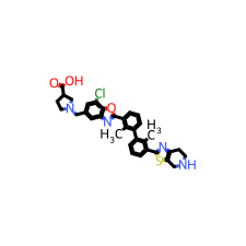 Cc1c(-c2nc3cc(CN4CCC(C(=O)O)C4)cc(Cl)c3o2)cccc1-c1cccc(-c2nc3c(s2)CNCC3)c1C